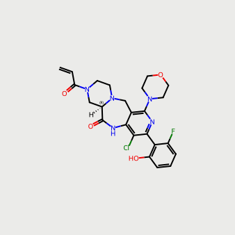 C=CC(=O)N1CCN2Cc3c(N4CCOCC4)nc(-c4c(O)cccc4F)c(Cl)c3NC(=O)[C@H]2C1